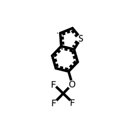 FC(F)(F)Oc1ccc2[c]csc2c1